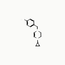 CC(C)c1ccc(CN2C=CN(C3CC3)CC2)cc1